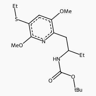 CCSc1cc(OC)c(CC(CC)NC(=O)OC(C)(C)C)nc1OC